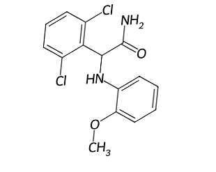 COc1ccccc1NC(C(N)=O)c1c(Cl)cccc1Cl